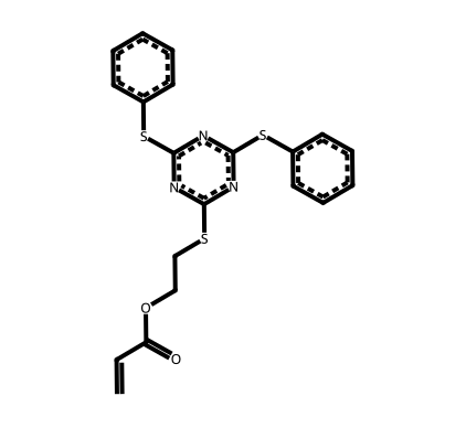 C=CC(=O)OCCSc1nc(Sc2ccccc2)nc(Sc2ccccc2)n1